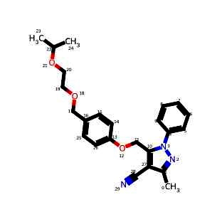 Cc1nn(-c2ccccc2)c(COc2ccc(COCCOC(C)C)cc2)c1C#N